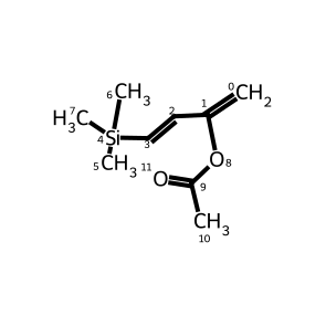 C=C(C=C[Si](C)(C)C)OC(C)=O